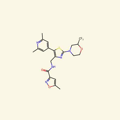 Cc1cc(-c2sc(N3CCOC(C(F)(F)F)C3)nc2CNC(=O)c2cc(C)on2)cc(C)n1